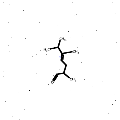 C/C(=C\CC(C)C=O)C(C)C